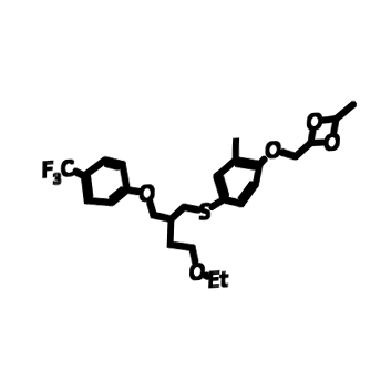 CCOCCC(COc1ccc(C(F)(F)F)cc1)CSc1ccc(OCC2OC(C)O2)c(C)c1